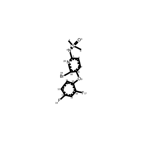 CS(C)(=O)=Nc1ccc(Oc2ccc(F)cc2F)c(Br)n1